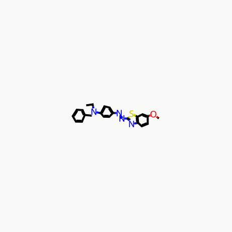 CCN(Cc1ccccc1)c1ccc(N=Nc2nc3ccc(OC)cc3s2)cc1